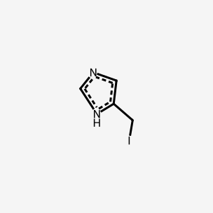 ICc1cnc[nH]1